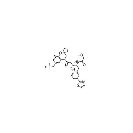 CO[C@H](C)C(=O)N[C@@H](Cc1cccc(-c2nccs2)c1)[C@H](O)CN[C@H]1CC2(CCC2)Oc2ncc(CC(C)(C)F)cc21